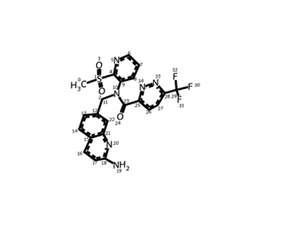 CS(=O)(=O)c1ncccc1N(Cc1ccc2ccc(N)nc2c1)C(=O)c1ccc(C(F)(F)F)nn1